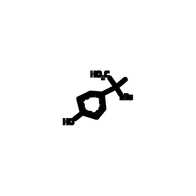 CCCCC(C)(C(=O)O)c1ccc(O)cc1